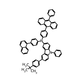 CC(C)(C)c1ccc(-c2ccc3c(c2)c2cc(N(c4ccc(-c5cccc6ccccc56)cc4)c4ccc(-c5c6ccccc6c(-c6ccccc6)c6ccccc56)cc4)ccc2n3-c2ccccc2)cc1